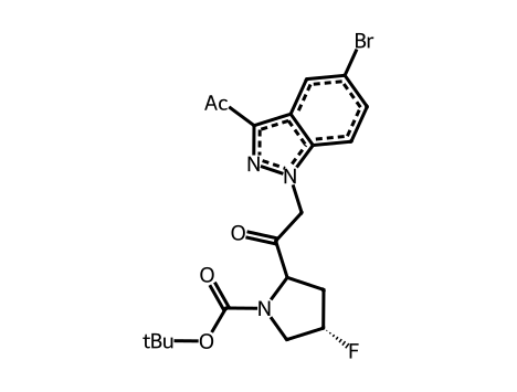 CC(=O)c1nn(CC(=O)C2C[C@H](F)CN2C(=O)OC(C)(C)C)c2ccc(Br)cc12